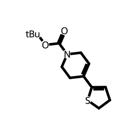 CC(C)(C)OC(=O)N1CC=C(C2=CCCS2)CC1